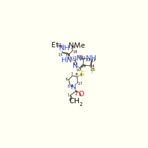 C=CC(=O)N1CCC[C@@H](Sc2nc(N/C(=C/NCC)CNC)nc3[nH]cc(F)c23)C1